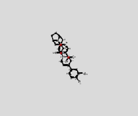 COC(=O)c1ccc(N2C3CCC2CN(CC(=O)N2CC=C(c4ccc(Cl)c(C(F)(F)F)c4)CC2)C3)nc1